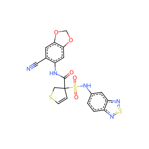 N#Cc1cc2c(cc1NC(=O)C1(S(=O)(=O)Nc3ccc4nsnc4c3)C=CSC1)OCO2